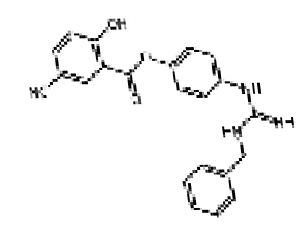 N#Cc1ccc(O)c(C(=O)Oc2ccc(NC(=N)NCc3ccccc3)cc2)c1